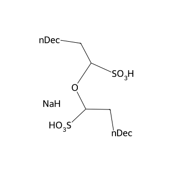 CCCCCCCCCCCC(OC(CCCCCCCCCCC)S(=O)(=O)O)S(=O)(=O)O.[NaH]